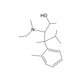 CCN(C)C(C(C)O)C(C)(c1ccccc1C)C(C)C